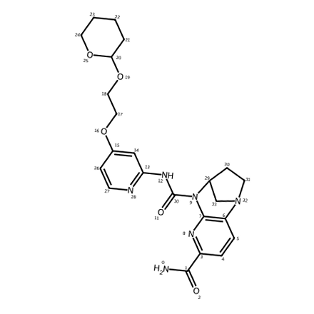 NC(=O)c1ccc2c(n1)N(C(=O)Nc1cc(OCCOC3CCCCO3)ccn1)C1CCN2C1